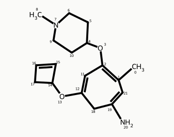 CC1=C(OC2CCN(C)CC2)C=C(OC2C=CC2)CC(N)=C1